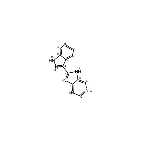 c1ccc2c(-c3nc4ncncc4[nH]3)n[nH]c2c1